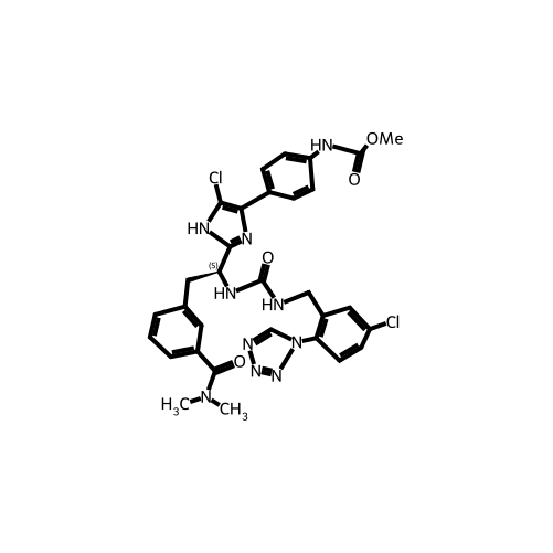 COC(=O)Nc1ccc(-c2nc([C@H](Cc3cccc(C(=O)N(C)C)c3)NC(=O)NCc3cc(Cl)ccc3-n3cnnn3)[nH]c2Cl)cc1